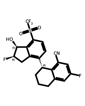 N#Cc1cc(F)cc2c1[C@@H](c1ccc(S(=O)(=O)C(F)(F)F)c3c1C[C@@H](F)[C@H]3O)CCC2